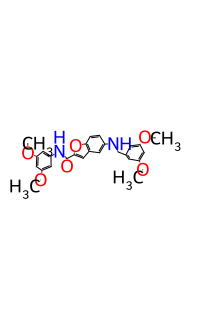 COc1cc(CNc2ccc3oc(C(=O)Nc4cc(OC)cc(OC)c4)cc3c2)cc(OC)c1